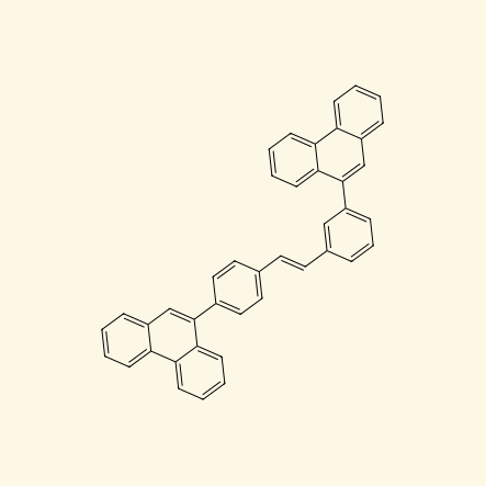 C(=Cc1cccc(-c2cc3ccccc3c3ccccc23)c1)c1ccc(-c2cc3ccccc3c3ccccc23)cc1